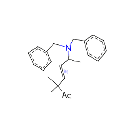 CC(=O)C(C)(C)/C=C/C(C)N(Cc1ccccc1)Cc1ccccc1